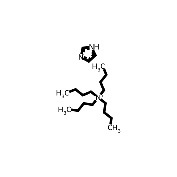 CCCC[N+](CCCC)(CCCC)CCCC.c1c[nH]cn1